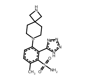 Cc1ccc(N2CCC3(CC2)CNC3)c(-c2nnn[nH]2)c1S(N)(=O)=O